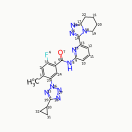 Cc1cc(F)c(C(=O)Nc2cccc(-c3nnc4n3CCCC4)n2)cc1-n1nnc(C2CC2)n1